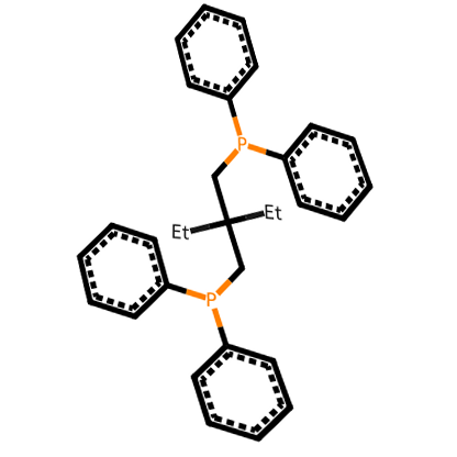 CCC(CC)(CP(c1ccccc1)c1ccccc1)CP(c1ccccc1)c1ccccc1